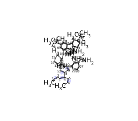 C\C=C/C=C(/C=C\C)C(\C=C1/NC2=C(CCC=C2)C2N[PH](N)(Nc3c(CN)cccc31)n1c3ccc(C(C)(C)C)cc3c3cc(C(C)(C)C)cc2c31)=C\C